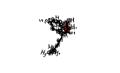 CC[C@H](C)[C@@H]1NC(=O)CNC(=O)C2Cc3c([nH]c4cc(O)ccc34)SCC(NC(=O)CNC1=O)C(=O)N[C@@H](CC(=O)NCCCCCCNC(=O)OC(C)(C)C)C(=O)N1CC(O)C[C@H]1C(=O)N[C@@H]([C@@H](C)[C@@H](O)CO)C(=O)N2